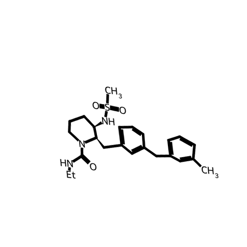 CCNC(=O)N1CCC[C@@H](NS(C)(=O)=O)[C@H]1Cc1cccc(Cc2cccc(C)c2)c1